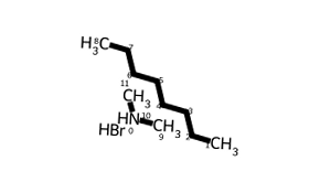 Br.CCCCCCCC.CNC